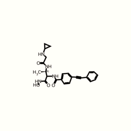 C[C@@H](NC(=O)CNC1CC1)C(NC(=O)c1ccc(C#Cc2ccccc2)cc1)C(=O)NO